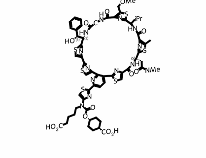 CNC(=O)C[C@@H]1NC(=O)c2csc(n2)-c2ccc(-c3nc(N(CCCCC(=O)O)C(=O)O[C@H]4CC[C@H](C(=O)O)CC4)cs3)nc2-c2csc(n2)-c2csc(n2)[C@H]([C@@H](O)c2ccccc2)NC(=O)CNC(=O)c2nc(sc2COC)C(C(C)C)NC(=O)c2nc1sc2C